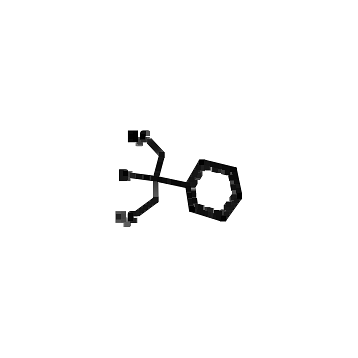 CCC(Br)(CC)c1ccccc1